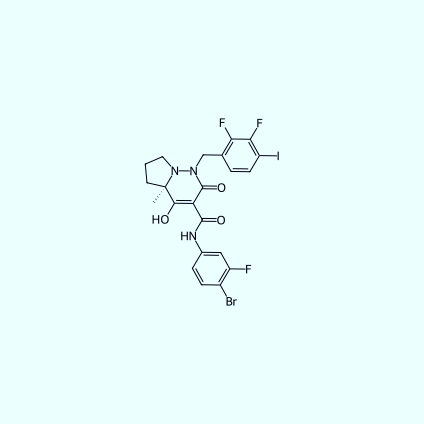 C[C@]12CCCN1N(Cc1ccc(I)c(F)c1F)C(=O)C(C(=O)Nc1ccc(Br)c(F)c1)=C2O